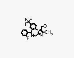 Cc1nc2n(c1C=O)-c1ccc(C(F)(F)F)cc1C(c1ccccc1F)=NC2